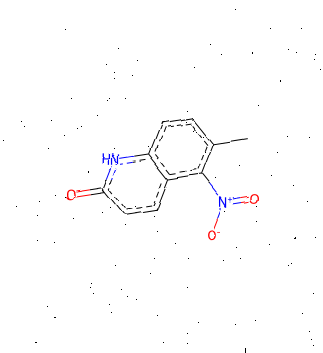 Cc1ccc2[nH]c(=O)ccc2c1[N+](=O)[O-]